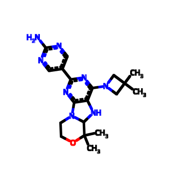 CC1(C)CN(c2nc(-c3cnc(N)nc3)nc3c2NC2N3CCOC2(C)C)C1